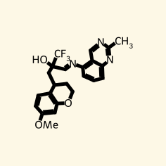 COc1ccc2c(c1)OCCC2CC(O)(C=Nc1cccc2nc(C)ncc12)C(F)(F)F